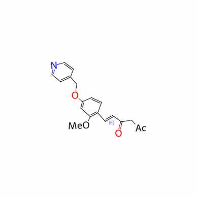 COc1cc(OCc2ccncc2)ccc1/C=C/C(=O)CC(C)=O